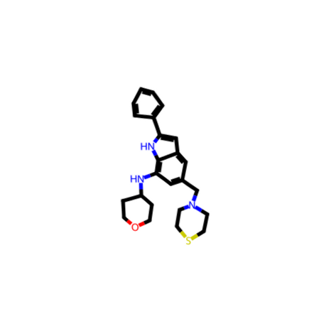 c1ccc(-c2cc3cc(CN4CCSCC4)cc(NC4CCOCC4)c3[nH]2)cc1